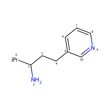 CC(C)C(N)CCc1cccnc1